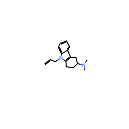 C=CCn1c2c(c3ccccc31)CC(N(C)C)CC2